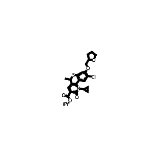 CC(C)OC(=O)c1cc2c(n(C3CC3)c1=O)-c1cc(Cl)c(OCC3CCCO3)cc1SC2C